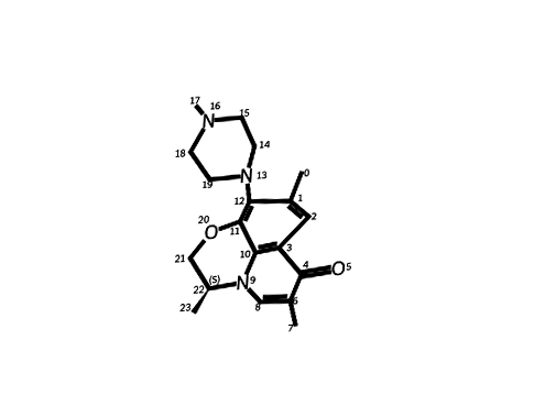 Cc1cc2c(=O)c(C)cn3c2c(c1N1CCN(C)CC1)OC[C@@H]3C